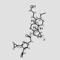 CC[C@H]1CC[C@@H]2[C@H](CC[C@]3(C)[C@@H](C(=O)Cn4cc(C#N)c(C5CC5)n4)C4C([C@@H]4C)[C@@H]23)[C@H]1CCCO